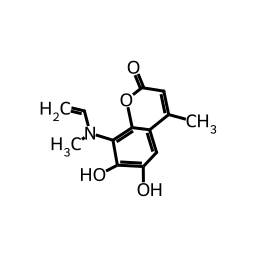 C=CN(C)c1c(O)c(O)cc2c(C)cc(=O)oc12